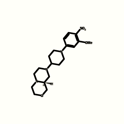 COc1cc(N2CCC(N3CCN4CCOC[C@@H]4C3)CC2)ccc1[N+](=O)[O-]